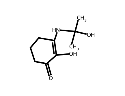 CC(C)(O)NC1=C(O)C(=O)CCC1